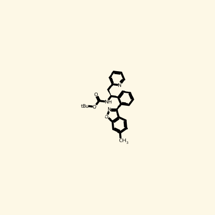 Cc1ccc2c(-c3ccccc3[C@H](Cc3ccccn3)NC(=O)OC(C)(C)C)noc2c1